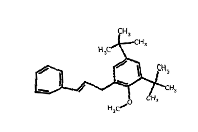 COc1c(CC=Cc2ccccc2)cc(C(C)(C)C)cc1C(C)(C)C